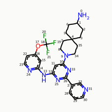 NC1CCC2(CC1)CCN(c1cc(Nc3cc(OC(F)(F)F)ccn3)nc(-c3cccnc3)n1)CC2